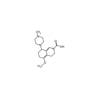 COC1=C2CCN(C(=O)O)C=C2C(N2CCN(C)CC2)CC1